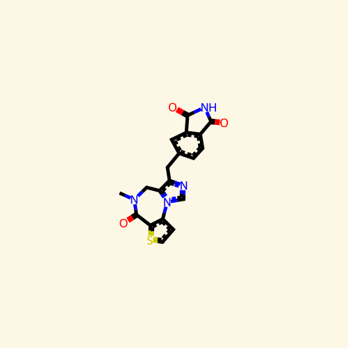 CN1Cc2c(Cc3ccc4c(c3)C(=O)NC4=O)ncn2-c2ccsc2C1=O